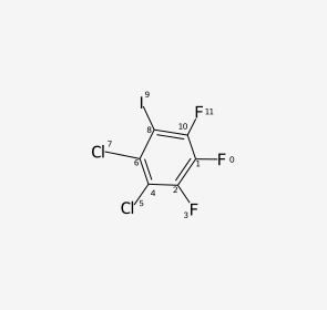 Fc1c(F)c(Cl)c(Cl)c(I)c1F